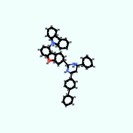 C1=C(c2ccc(-c3ccccc3)cc2)N=C(c2ccc3c(c2)oc2cccc(-n4c5ccccc5c5ccccc54)c23)NC1c1ccccc1